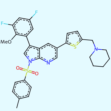 COc1c(F)cc(F)cc1-c1cn(S(=O)(=O)c2ccc(C)cc2)c2ncc(-c3ccc(CN4CCCCC4)s3)cc12